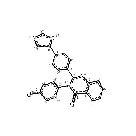 O=c1c2ccccc2nc(-c2ccc(-c3cnco3)cc2)n1-c1ccc(Cl)cn1